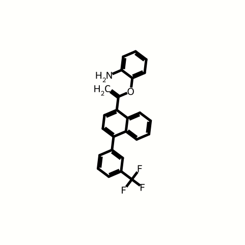 C=C(Oc1ccccc1N)c1ccc(-c2cccc(C(F)(F)F)c2)c2ccccc12